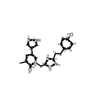 Cc1cc(-c2cn[nH]c2)cn(Cc2nc(CCc3ccc(Cl)cc3)no2)c1=O